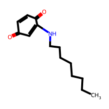 CCCCCCCCNC1=CC(=O)C=CC1=O